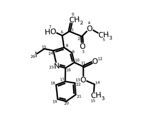 C=C(C(=O)OC)C(O)c1cc(C(=O)OCC)c(-c2ccccc2)nc1CI